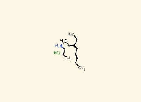 CCC=CC=C(CC)CC.CCCN.Cl